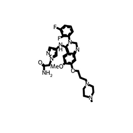 COc1cc2c(cc1OCCCN1CCN(C)CC1)=NCN(c1cccc(F)c1F)C=2Nc1cnn(CC(N)=O)c1